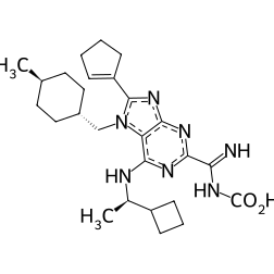 C[C@@H](Nc1nc(C(=N)NC(=O)O)nc2nc(C3=CCCC3)n(C[C@H]3CC[C@H](C)CC3)c12)C1CCC1